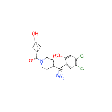 N[C@@H](c1cc(Cl)c(Cl)cc1O)C1CCN(C(=O)C23CC(O)(C2)C3)CC1